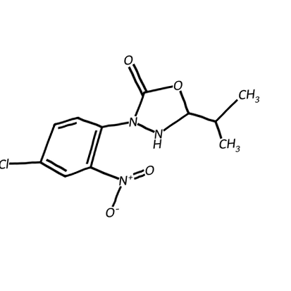 CC(C)C1NN(c2ccc(Cl)cc2[N+](=O)[O-])C(=O)O1